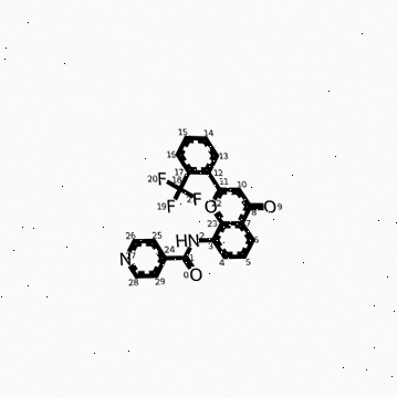 O=C(Nc1cccc2c(=O)cc(-c3ccccc3C(F)(F)F)oc12)c1ccncc1